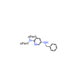 CCCCCN(CCCCC)c1ccc(NCc2ccccc2)cn1